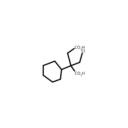 O=C(O)CC(CCl)(C(=O)O)C1CCCCC1